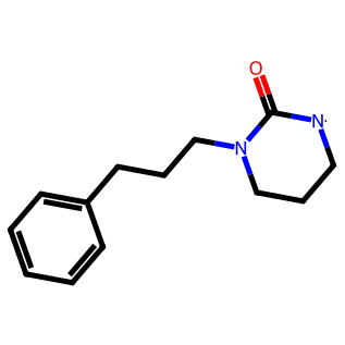 O=C1[N]CCCN1CCCc1ccccc1